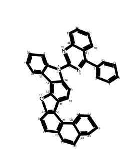 c1ccc(-c2nc(-n3c4ccccc4c4c5oc6ccc7ccc8ccccc8c7c6c5ccc43)nc3ccccc23)cc1